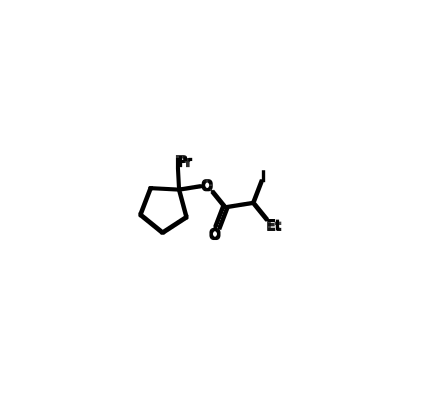 CCC(I)C(=O)OC1(C(C)C)CCCC1